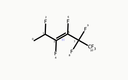 CC(F)/C(F)=C(\F)C(F)(F)C(F)(F)F